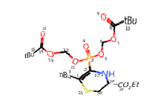 CCCCC1=C(P(=O)(OCOC(=O)C(C)(C)C)OCOC(=O)C(C)(C)C)N[C@H](C(=O)OCC)CS1